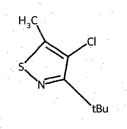 Cc1snc(C(C)(C)C)c1Cl